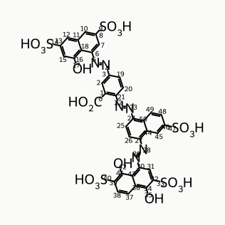 O=C(O)c1cc(N=Nc2cc(S(=O)(=O)O)cc3cc(S(=O)(=O)O)cc(O)c23)ccc1N=Nc1ccc(N=Nc2cc(S(=O)(=O)O)c(O)c3ccc(S(=O)(=O)O)c(O)c23)c2cc(S(=O)(=O)O)ccc12